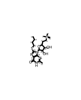 C=P(C)(C)CCC1OC(n2c(SCCCC)nc3c(=O)[nH]c(C)nc32)[C@H](O)[C@@H]1O